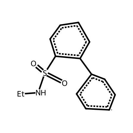 CCNS(=O)(=O)c1ccccc1-c1cc[c]cc1